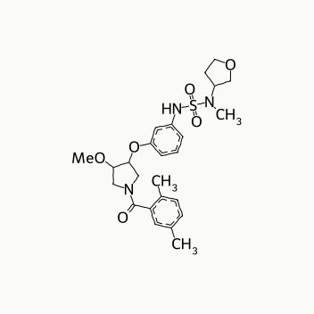 COC1CN(C(=O)c2cc(C)ccc2C)CC1Oc1cccc(NS(=O)(=O)N(C)C2CCOC2)c1